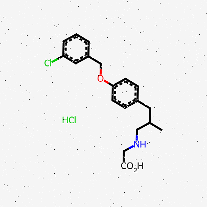 CC(CNCC(=O)O)Cc1ccc(OCc2cccc(Cl)c2)cc1.Cl